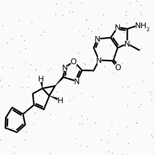 Cn1c(N)nc2ncn(Cc3nc([C@H]4[C@@H]5C=C(c6ccccc6)C[C@@H]54)no3)c(=O)c21